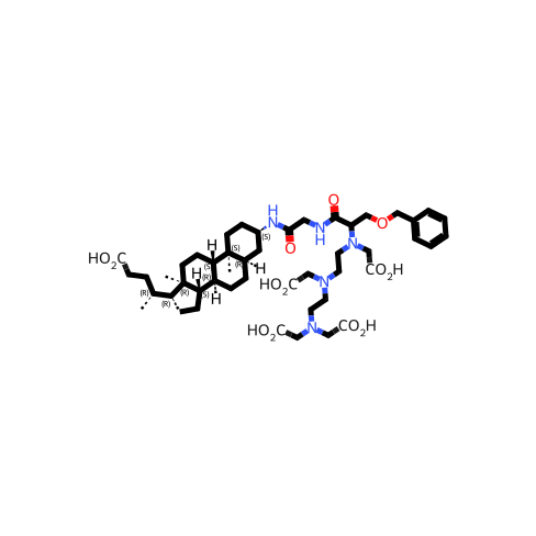 C[C@H](CCC(=O)O)[C@H]1CC[C@H]2[C@@H]3CC[C@@H]4C[C@@H](NC(=O)CNC(=O)C(COCc5ccccc5)N(CCN(CCN(CC(=O)O)CC(=O)O)CC(=O)O)CC(=O)O)CC[C@]4(C)[C@H]3CC[C@]12C